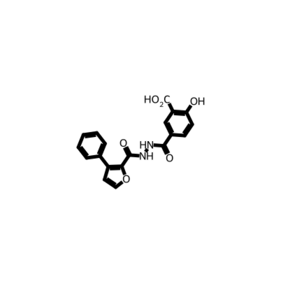 O=C(NNC(=O)c1occc1-c1ccccc1)c1ccc(O)c(C(=O)O)c1